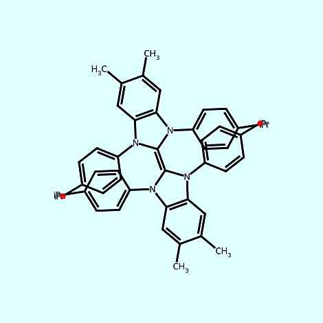 Cc1cc2c(cc1C)N(c1ccc(C(C)C)cc1)C(=C1N(c3ccc(C(C)C)cc3)c3cc(C)c(C)cc3N1c1ccc(C(C)C)cc1)N2c1ccc(C(C)C)cc1